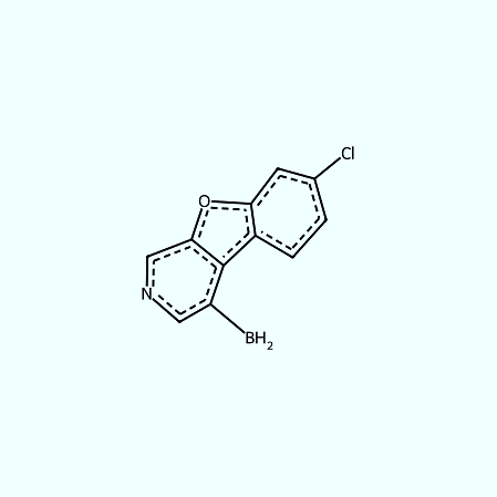 Bc1cncc2oc3cc(Cl)ccc3c12